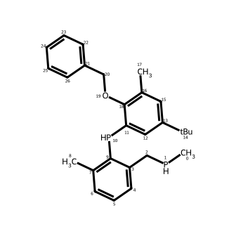 CPCc1cccc(C)c1Pc1cc(C(C)(C)C)cc(C)c1OCc1ccccc1